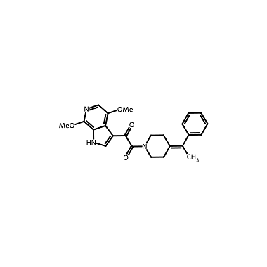 COc1ncc(OC)c2c(C(=O)C(=O)N3CCC(=C(C)c4ccccc4)CC3)c[nH]c12